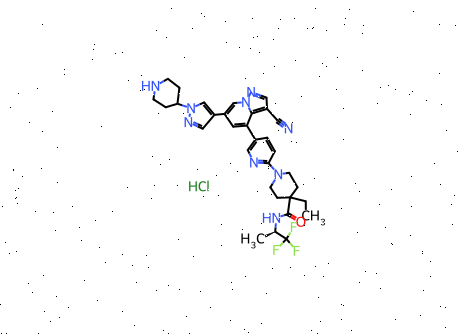 CCC1(C(=O)N[C@H](C)C(F)(F)F)CCN(c2ccc(-c3cc(-c4cnn(C5CCNCC5)c4)cn4ncc(C#N)c34)cn2)CC1.Cl